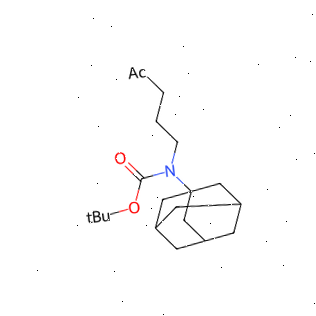 CC(=O)CCCN(C(=O)OC(C)(C)C)C12CC3CC(CC(C3)C1)C2